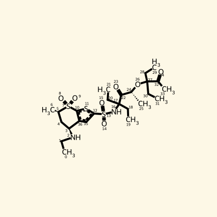 CCN[C@H]1C[C@H](C)S(=O)(=O)c2sc(S(=O)(=O)NC(CC)(CC)C(=O)[C@@H](C)OC(CC)(CC)C(C)=O)cc21